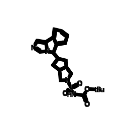 CC(C)(C)OC(=O)NS(=O)(=O)N1CC2CC(C3c4ccccc4-c4cncn43)CC2C1